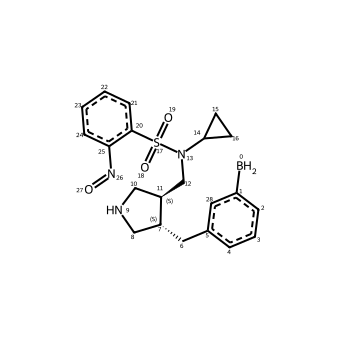 Bc1cccc(C[C@@H]2CNC[C@H]2CN(C2CC2)S(=O)(=O)c2ccccc2N=O)c1